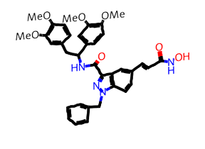 COc1ccc(CC(NC(=O)c2nn(Cc3ccccc3)c3ccc(C=CC(=O)NO)cc23)c2ccc(OC)c(OC)c2)cc1OC